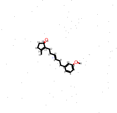 COc1cccc(CC/C=C/CCC2=C(C)CCC2=O)c1